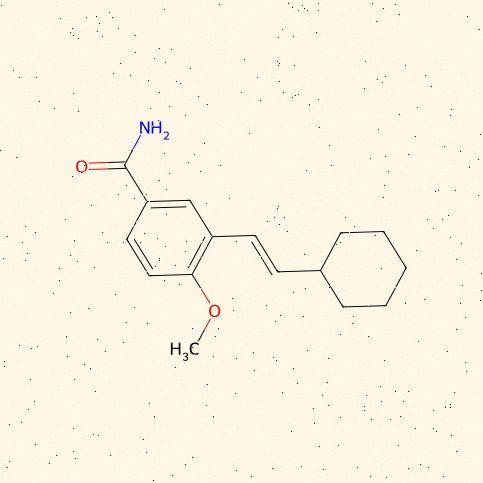 COc1ccc(C(N)=O)cc1/C=C/C1CCCCC1